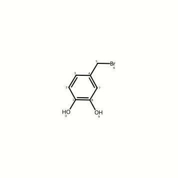 Oc1ccc(CBr)cc1O